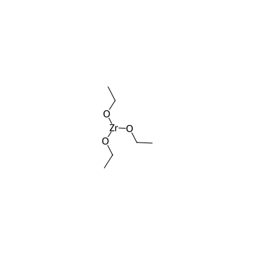 CC[O][Zr]([O]CC)[O]CC